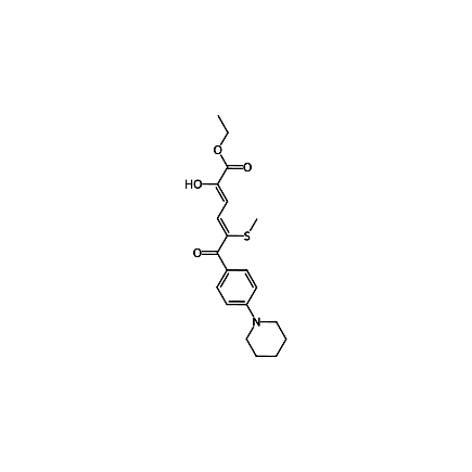 CCOC(=O)C(O)=CC=C(SC)C(=O)c1ccc(N2CCCCC2)cc1